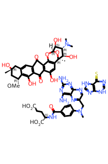 CN(Cc1cnc2nc(N)nc(N)c2n1)c1ccc(C(=O)N[C@@H](CCC(=O)O)C(=O)O)cc1.CO[C@@H]1C[C@](C)(O)Cc2cc3c(c(O)c21)C(=O)c1c(O)cc2c(c1C3=O)O[C@@H]1O[C@@]2(C)[C@H](O)[C@@H](N(C)C)[C@@H]1O.S=c1nc[nH]c2nc[nH]c12